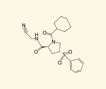 N#CCNC(=O)[C@@H]1C[C@@H](S(=O)(=O)c2ccccc2)CN1C(=O)C1CCCCC1